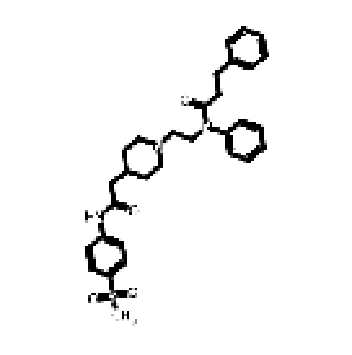 CS(=O)(=O)c1ccc(NC(=O)CC2CCN(CCN(C(=O)CCc3ccccc3)c3ccccc3)CC2)cc1